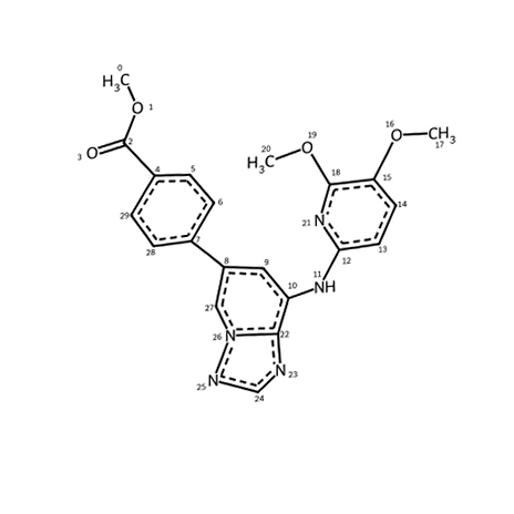 COC(=O)c1ccc(-c2cc(Nc3ccc(OC)c(OC)n3)c3ncnn3c2)cc1